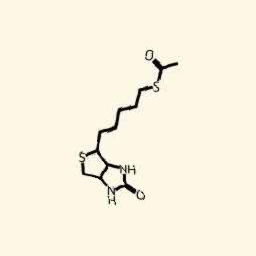 CC(=O)SCCCCCC1SCC2NC(=O)NC21